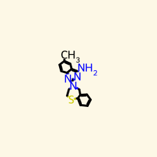 Cc1ccc2nc(N3CCSc4ccccc4C3)nc(N)c2c1